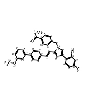 COC(=O)c1ccc(Cn2cc(-c3ccc(Cl)cc3Cl)nc2C=Cc2ccc(-c3cccc(OC(F)(F)F)c3)cc2)cc1